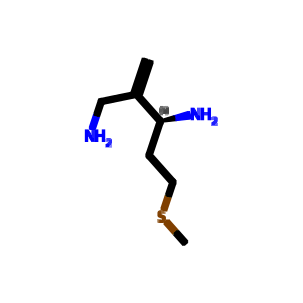 C=C(CN)[C@@H](N)CCSC